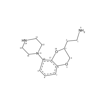 NCCC1COc2cccc(N3CCNCC3)c2O1